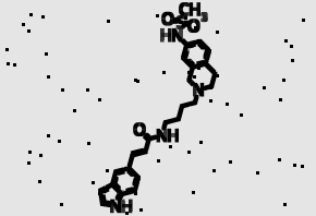 CS(=O)(=O)Nc1ccc2c(c1)CN(CCCCNC(=O)C=Cc1ccc3[nH]ccc3c1)CC2